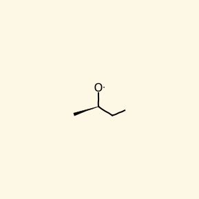 CC[C@@H](C)[O]